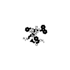 Cc1cc(=O)n(CC2CC2)c2cc(NC(=O)[C@H](CCCCN)NC(=O)[C@H](COCc3ccccc3)NC(=O)OCC3c4ccccc4-c4ccccc43)ccc12